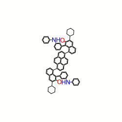 c1ccc(Nc2cccc3c2oc2c(C4CCCCC4)cc4cccc(-c5ccc6ccc7c(-c8cccc9cc(C%10CCCCC%10)c%10oc%11c(Nc%12ccccc%12)cccc%11c%10c89)ccc8ccc5c6c87)c4c23)cc1